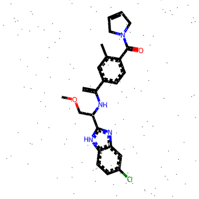 C=C(NC(COC)c1nc2cc(Cl)ccc2[nH]1)c1ccc(C(=O)N2CC=CC2)c(C)c1